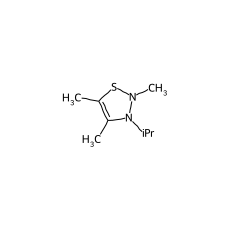 CC1=C(C)N(C(C)C)N(C)S1